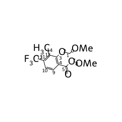 COCOc1c(C(=O)OOC)ccc(C(F)(F)F)c1C